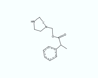 CC(C(=O)OCN1CCNCC1)c1ccccc1